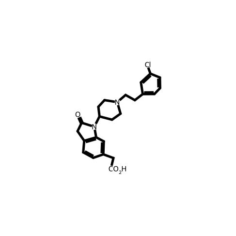 O=C(O)Cc1ccc2c(c1)N(C1CCN(CCc3cccc(Cl)c3)CC1)C(=O)C2